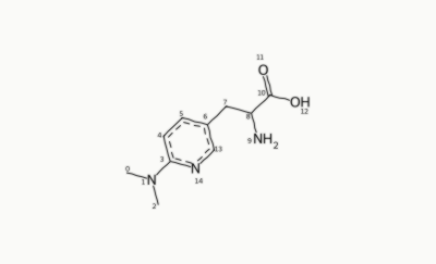 CN(C)c1ccc(CC(N)C(=O)O)cn1